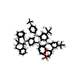 CC(C)(C)c1ccc(N2c3cc(N4c5ccccc5C5(C)CCc6ccccc6C45C)ccc3B3c4ccc(C(C)(C)C)cc4N(c4ccc(C(C)(C)C)cc4-c4ccccc4)c4cc(C(C)(C)C)cc2c43)cc1